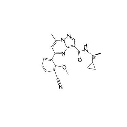 COc1c(C#N)cccc1-c1cc(C)n2ncc(C(=O)N[C@@H](C)C3CC3)c2n1